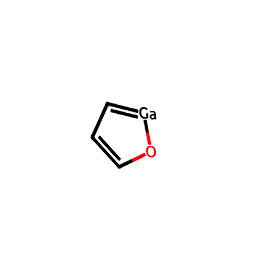 C1=C[O][Ga]=[CH]1